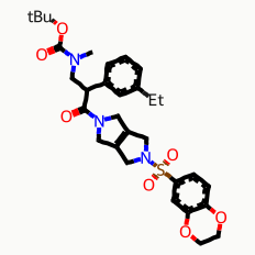 CCc1cccc(C(CN(C)C(=O)OC(C)(C)C)C(=O)N2CC3=C(C2)CN(S(=O)(=O)c2ccc4c(c2)OCCO4)C3)c1